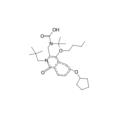 CCCCOc1c(CN(C(=O)O)C(C)(C)C)n(CC(C)(C)C)c(=O)c2ccc(OC3CCCC3)cc12